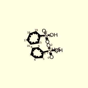 O=S(=O)(O)c1ccccc1.O=S(=O)(O)c1ccccc1.S